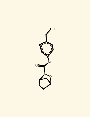 O=C(Nc1ccc(CO)cc1)N1OC2CCC1C2